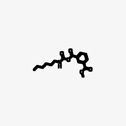 CCCCCCNC(=O)OC(=O)c1cccc(C(=O)OC)c1